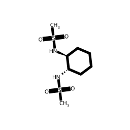 CS(=O)(=O)N[C@H]1CCCC[C@@H]1NS(C)(=O)=O